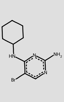 Nc1ncc(Br)c(NC2CCCCC2)n1